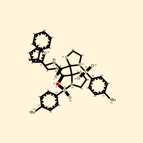 CC(CNC(=O)C1(C2(C(=O)NCc3ccco3)SCCN2S(=O)(=O)c2ccc(C(C)(C)C)cc2)SCCN1S(=O)(=O)c1ccc(C(C)(C)C)cc1)c1ccccc1